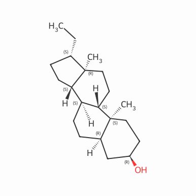 CC[C@H]1CC[C@H]2[C@@H]3CC[C@@H]4C[C@H](O)CC[C@]4(C)[C@H]3CC[C@]12C